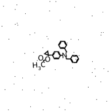 CC(=O)OC1(c2ccc(N(Cc3ccccc3)Cc3ccccc3)cc2)CC1